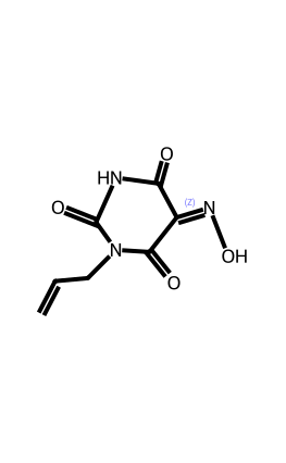 C=CCN1C(=O)NC(=O)/C(=N/O)C1=O